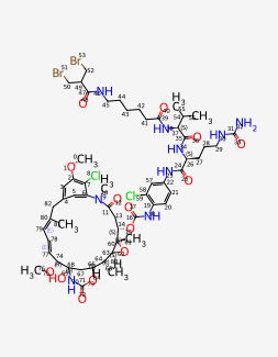 COc1cc2cc(c1Cl)N(C)C(=O)C[C@H](OC(=O)Nc1ccc(NC(=O)[C@H](CCCNC(N)=O)NC(=O)[C@@H](NC(=O)CCCCCNC(=O)C(CBr)CBr)C(C)C)cc1Cl)[C@]1(C)O[C@H]1[C@H](C)[C@@H]1C[C@@](O)(NC(=O)O1)[C@H](OC)/C=C/C=C(\C)C2